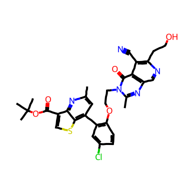 Cc1cc(-c2cc(Cl)ccc2OCCn2c(C)nc3cnc(CCO)c(C#N)c3c2=O)c2scc(C(=O)OC(C)(C)C)c2n1